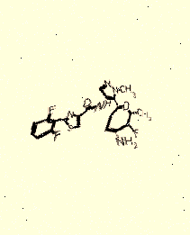 C[C@@H]1O[C@H](c2c(NC(=O)c3csc(-c4c(F)cccc4F)n3)cnn2C)CC[C@@H](N)[C@@H]1F